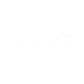 CCOC1=NNC(=O)/C1=C/c1[nH]c(C)c(C(=O)OCCN(C)C)c1C